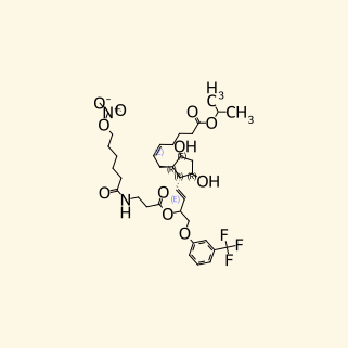 CC(C)OC(=O)CCC/C=C\C[C@@H]1[C@@H](/C=C/C(COc2cccc(C(F)(F)F)c2)OC(=O)CCNC(=O)CCCCCO[N+](=O)[O-])[C@H](O)C[C@@H]1O